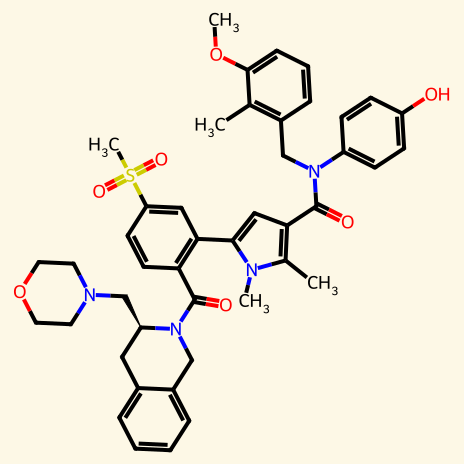 COc1cccc(CN(C(=O)c2cc(-c3cc(S(C)(=O)=O)ccc3C(=O)N3Cc4ccccc4C[C@H]3CN3CCOCC3)n(C)c2C)c2ccc(O)cc2)c1C